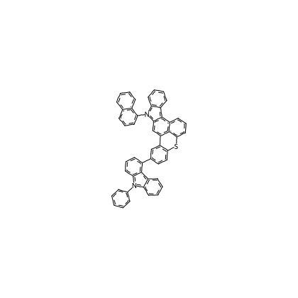 c1ccc(-n2c3ccccc3c3c(-c4ccc5c(c4)-c4cc6c(c7cccc(c47)S5)c4ccccc4n6-c4cccc5ccccc45)cccc32)cc1